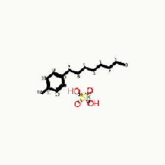 CCCCCCCCc1ccc(C)cc1.O=S(=O)(O)O